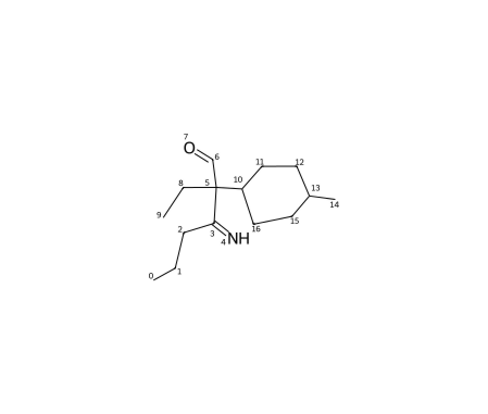 CCCC(=N)C(C=O)(CC)C1CCC(C)CC1